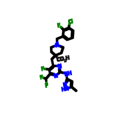 Cc1cc(Nc2nc(CC3(C(=O)O)CCN(Cc4cccc(Cl)c4F)CC3)c(F)c(C(F)F)n2)n[nH]1